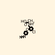 CC(NCc1ccc(Cl)cc1Oc1ccc(N=[N+]=[N-])cc1)C(=O)O